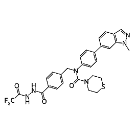 Cn1ncc2ccc(-c3ccc(N(Cc4ccc(C(=O)NNC(=O)C(F)(F)F)cc4)C(=O)N4CCSCC4)cc3)cc21